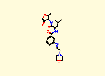 CC(C)CC(NC(=O)c1cccc(NCCN2CCOCC2)c1)C(=O)NC1C(=O)COC1C